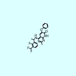 Cc1nc(NC(C)c2cccc(C(F)F)c2F)c2cc(Oc3ccccc3)c(=O)[nH]c2n1